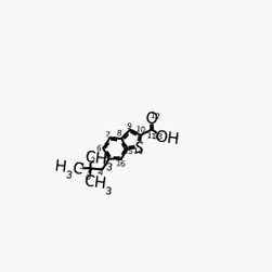 CC(C)(C)Cc1ccc2cc(C(=O)O)sc2c1